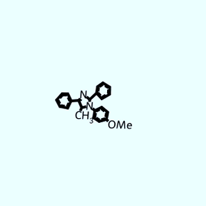 COc1ccc(N2C(C)C(c3ccccc3)=NC2c2ccccc2)cc1